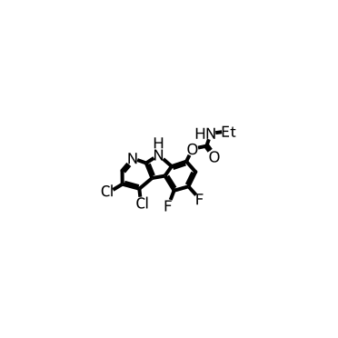 CCNC(=O)Oc1cc(F)c(F)c2c1[nH]c1ncc(Cl)c(Cl)c12